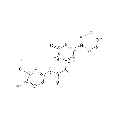 COc1cc(NC(=O)C(C)c2nc(N3CCOCC3)cc(=O)[nH]2)ccc1F